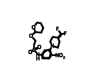 O=[N+]([O-])c1ccc(NS(=O)(=O)CCOC2CCCCO2)cc1N1CCC(=C(F)F)CC1